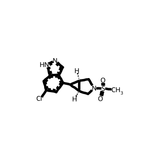 CS(=O)(=O)N1C[C@@H]2C(c3cc(Cl)cc4[nH]ncc34)[C@@H]2C1